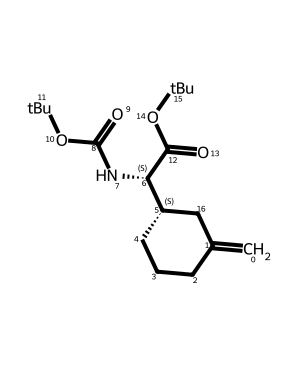 C=C1CCC[C@H]([C@H](NC(=O)OC(C)(C)C)C(=O)OC(C)(C)C)C1